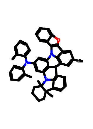 Cc1ccccc1N(c1cc2c3c(c1)-n1c4c(cc(C(C)(C)C)cc4c4oc5ccccc5c41)B3c1cccc3c1N2C1(C)CCCCC31C)c1ccccc1C